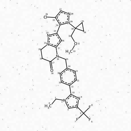 CCn1cc(C(F)(F)F)nc1-c1ccc(CN2C(=O)CCn3nc(-c4c(Cl)cnn4C4(COC)CC4)cc32)cc1